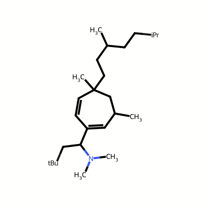 CC(C)CCC(C)CCC1(C)C=CC(C(CC(C)(C)C)N(C)C)=CC(C)C1